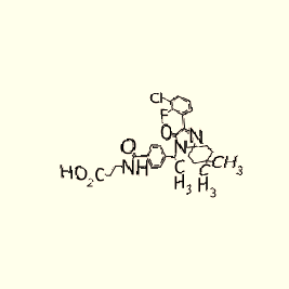 C[C@H](c1ccc(C(=O)NCCC(=O)O)cc1)N1C(=O)C(c2cccc(Cl)c2F)=NC12CCC(C)(C)CC2